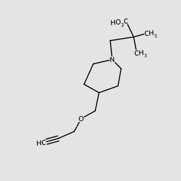 C#CCOCC1CCN(CC(C)(C)C(=O)O)CC1